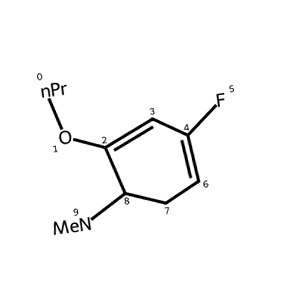 CCCOC1=CC(F)=CCC1NC